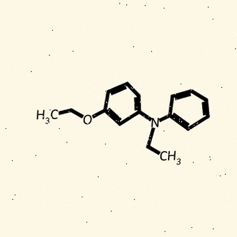 CCOc1cccc(N(CC)c2ccccc2)c1